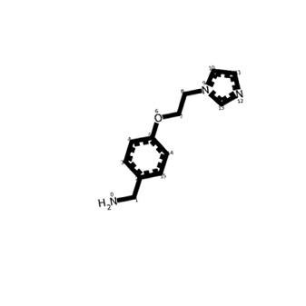 NCc1ccc(OCCn2ccnc2)cc1